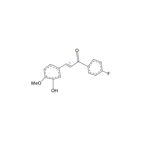 COc1ccc(/C=C/C(=O)c2ccc(F)cc2)cc1O